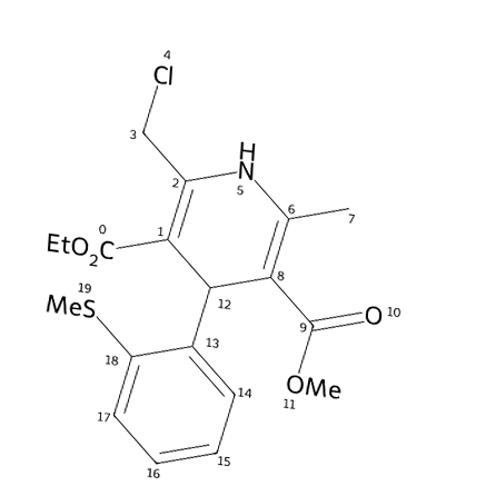 CCOC(=O)C1=C(CCl)NC(C)=C(C(=O)OC)C1c1ccccc1SC